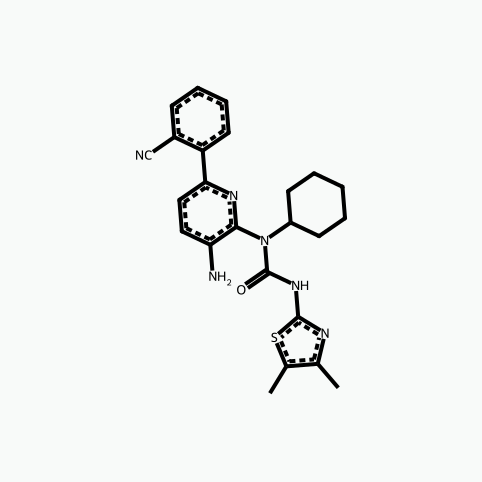 Cc1nc(NC(=O)N(c2nc(-c3ccccc3C#N)ccc2N)C2CCCCC2)sc1C